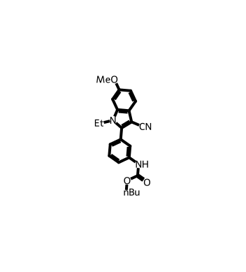 CCCCOC(=O)Nc1cccc(-c2c(C#N)c3ccc(OC)cc3n2CC)c1